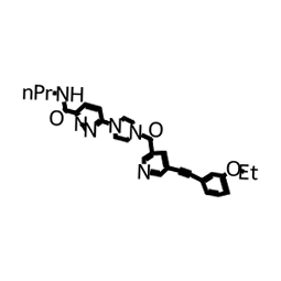 CCCNC(=O)c1ccc(N2CCN(C(=O)c3cncc(C#Cc4cccc(OCC)c4)c3)CC2)nn1